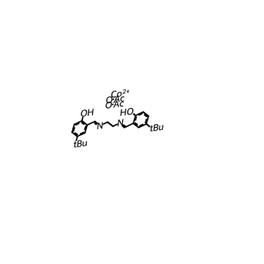 CC(=O)[O-].CC(=O)[O-].CC(C)(C)c1ccc(O)c(C=NCCN=Cc2cc(C(C)(C)C)ccc2O)c1.[Co+2]